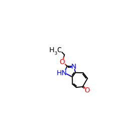 CCOc1nc2ccc(=O)ccc2[nH]1